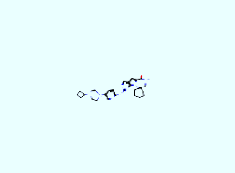 CN1CC2(CCCCC2)n2c(cc3cnc(Nc4ccc(N5CCN(C6CCC6)CC5)cn4)nc32)C1=O